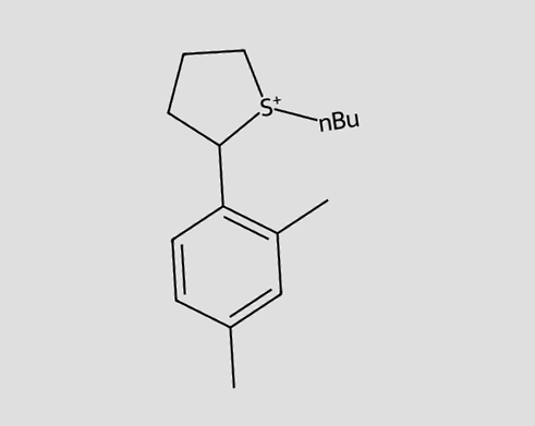 CCCC[S+]1CCCC1c1ccc(C)cc1C